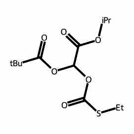 CCSC(=O)OC(OC(=O)C(C)(C)C)C(=O)OC(C)C